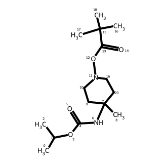 CC(C)OC(=O)NC1(C)CCN(OC(=O)C(C)(C)C)CC1